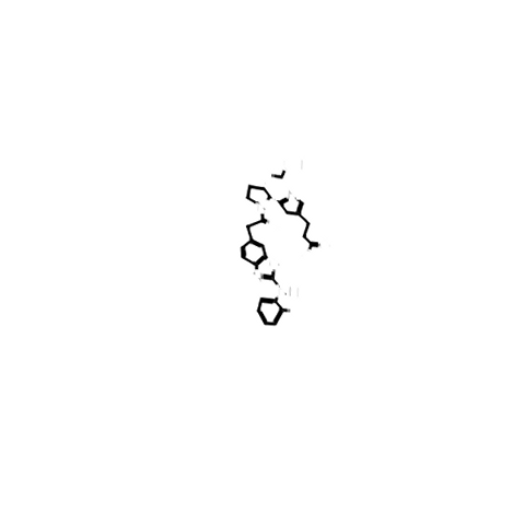 CCO[C@H]1CCN(C(=O)Cc2ccc3nc(Nc4ccccc4C)oc3c2)[C@@H]1C1=NC=C(CCC(=O)O)C1